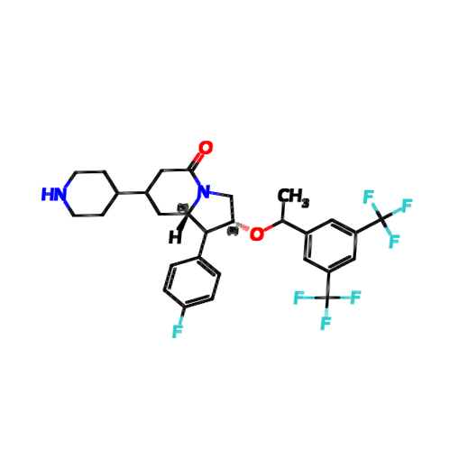 CC(O[C@H]1CN2C(=O)CC(C3CCNCC3)C[C@H]2C1c1ccc(F)cc1)c1cc(C(F)(F)F)cc(C(F)(F)F)c1